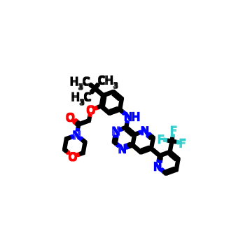 CC(C)(C)c1ccc(Nc2ncnc3cc(-c4ncccc4C(F)(F)F)cnc23)cc1OCC(=O)N1CCOCC1